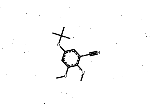 COc1cc(OC(C)(C)C)cc(C#N)c1OC